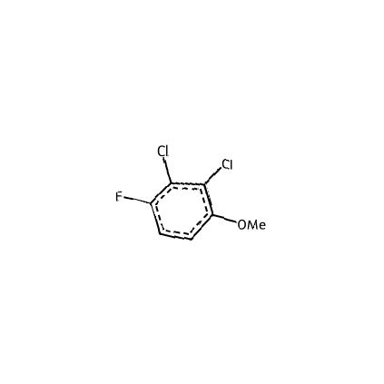 COc1ccc(F)c(Cl)c1Cl